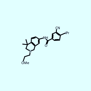 COCCN1Cc2cc(NC(=O)c3ccc(C(C)C)c(C#N)c3)ccc2C(C)(C)C1